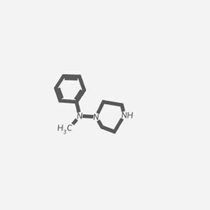 CN(c1ccccc1)N1CCNCC1